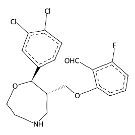 O=Cc1c(F)cccc1OC[C@@H]1CNCCO[C@H]1c1ccc(Cl)c(Cl)c1